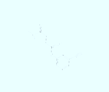 C#Cc1cccc(OC(=O)CCC(=O)OI)c1